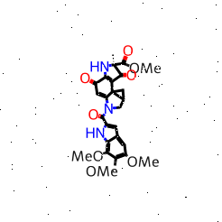 COC(=O)[C@]1(C)NC2=C(C1=O)C13CC1CN(C(=O)c1cc4cc(OC)c(OC)c(OC)c4[nH]1)C3=CC2=O